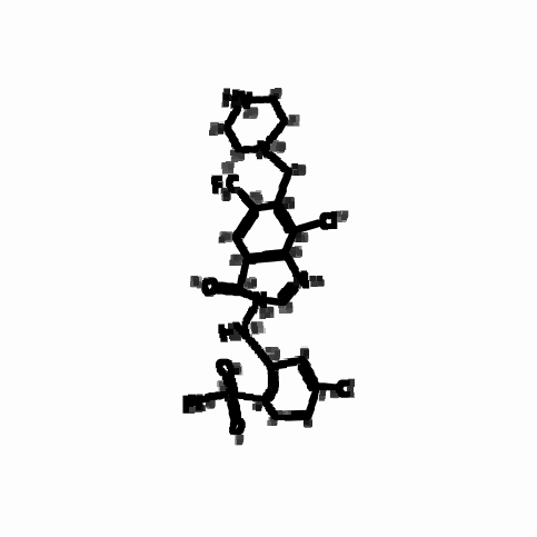 CCS(=O)(=O)c1ccc(Cl)cc1Nn1cnc2c(Cl)c(CN3CCNCC3)c(C(F)(F)F)cc2c1=O